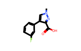 Cn1cc(-c2cccc(F)c2)c(C(=O)O)n1